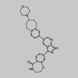 O=C1NCCOc2cc(-c3n[nH]c4ncc(-c5ccc6c(c5)CCC(N5CCOCC5)CC6)cc34)ccc21